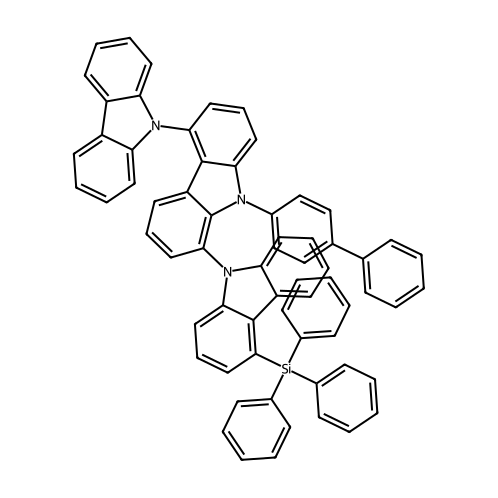 c1ccc(-c2ccc(-n3c4cccc(-n5c6ccccc6c6ccccc65)c4c4cccc(-n5c6ccccc6c6c([Si](c7ccccc7)(c7ccccc7)c7ccccc7)cccc65)c43)cc2)cc1